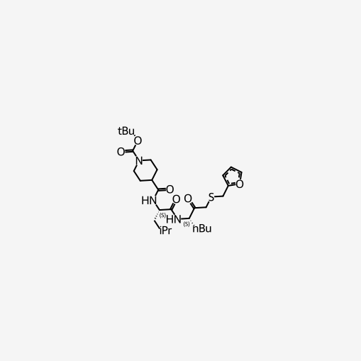 CCCC[C@H](NC(=O)[C@H](CC(C)C)NC(=O)C1CCN(C(=O)OC(C)(C)C)CC1)C(=O)CSCc1ccco1